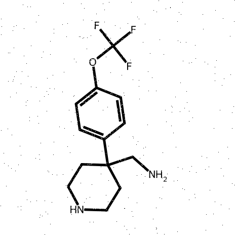 NCC1(c2ccc(OC(F)(F)F)cc2)CCNCC1